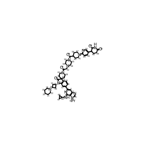 CC(C)n1cnc2cc(-c3ccc4c(c3)N([C@H]3C[C@@H](N5CCCCC5)C3)C(=O)C43CCN(C(=O)CN4CCN(C(=O)C5CCN(c6ccc(C7CCC(=O)NC7=O)cn6)CC5)CC4)CC3)nc(NC3CC3)c21